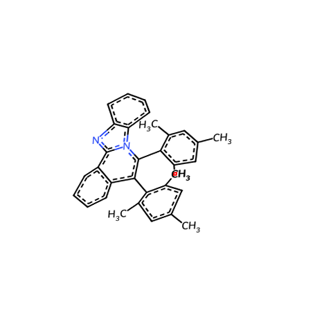 Cc1cc(C)c(-c2c(-c3c(C)cc(C)cc3C)n3c4ccccc4nc3c3ccccc23)c(C)c1